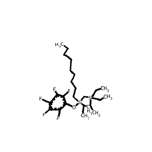 CCCCCCCCC[Si](C[Si](CC)(CC)CC)(Oc1c(F)c(F)c(F)c(F)c1F)C(C)C